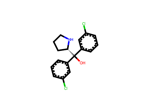 OC(c1cccc(Cl)c1)(c1cccc(Cl)c1)[C@@H]1CCCN1